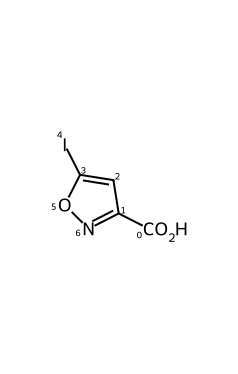 O=C(O)c1cc(I)on1